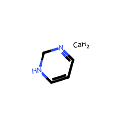 C1=CNCN=C1.[CaH2]